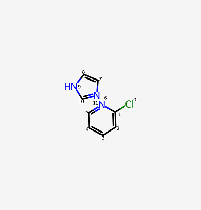 Clc1ccccn1.c1c[nH]cn1